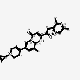 CC1=CC(C2=CCN(C3CC3)CC2)=CN2C(=O)C=C(c3cc4c(C)nc(C)cn4n3)PC12